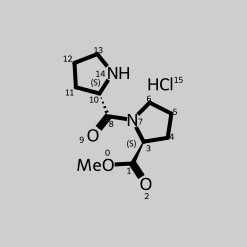 COC(=O)[C@@H]1CCCN1C(=O)[C@@H]1CCCN1.Cl